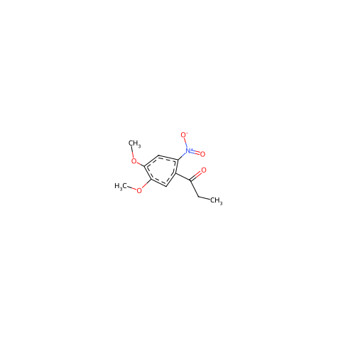 CCC(=O)c1cc(OC)c(OC)cc1[N+](=O)[O-]